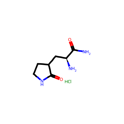 Cl.NC(=O)[C@@H](N)CC1CCNC1=O